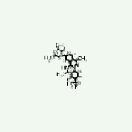 Cc1c([C@@H](C)Nc2nnc(C)c3cnc(N4C[C@@H](C)O[C@@H](C)C4)cc23)cccc1C(F)(F)F